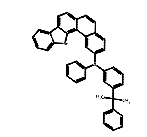 CC(C)(c1ccccc1)c1cccc(N(c2ccccc2)c2ccc3ccc4ccc5c6ccccc6[se]c5c4c3c2)c1